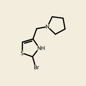 BrC1NC(CN2CCCC2)=CS1